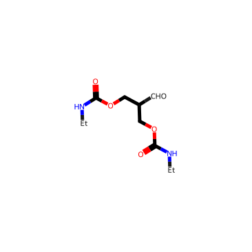 CCNC(=O)OCC(C=O)COC(=O)NCC